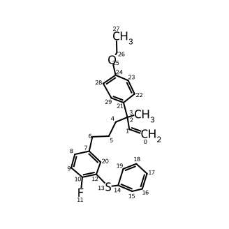 C=CC(C)(CCCc1ccc(F)c(Sc2ccccc2)c1)c1ccc(OCC)cc1